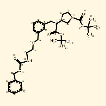 CC(C)(C)OC(=O)[C@@H](Cc1cccc(COCCNC(=O)OCc2ccccc2)c1)[C@H]1CCN(C(=O)OC(C)(C)C)C1